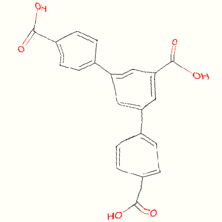 O=C(O)c1ccc(-c2cc(C(=O)O)cc(-c3ccc(C(=O)O)cc3)c2)cc1